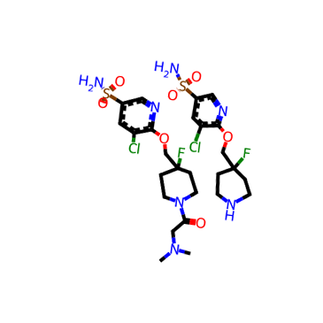 CN(C)CC(=O)N1CCC(F)(COc2ncc(S(N)(=O)=O)cc2Cl)CC1.NS(=O)(=O)c1cnc(OCC2(F)CCNCC2)c(Cl)c1